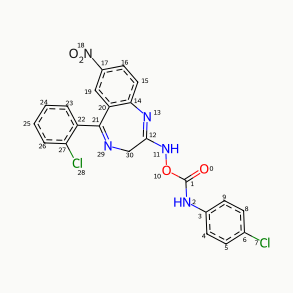 O=C(Nc1ccc(Cl)cc1)ONC1=Nc2ccc([N+](=O)[O-])cc2C(c2ccccc2Cl)=NC1